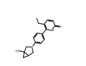 CCc1ccc(=O)[nH]c1-c1ccc(N2CC3CC3(N)C2)cc1